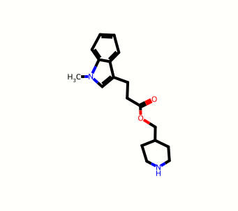 Cn1cc(CCC(=O)OCC2CCNCC2)c2ccccc21